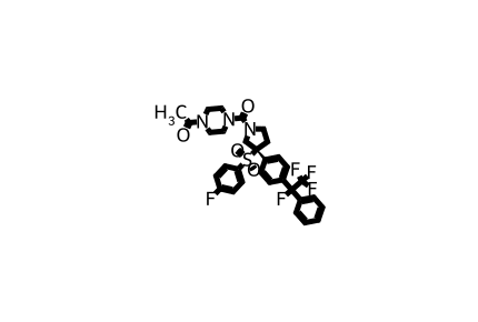 CC(=O)N1CCN(C(=O)N2CC[C@](c3ccc(C(F)(c4ccccc4)C(F)(F)F)cc3)(S(=O)(=O)c3ccc(F)cc3)C2)CC1